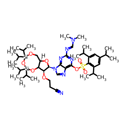 CC(C)c1cc(C(C)C)c(S(=O)(=O)Oc2nc(/N=C/N(C)C)nc3c2ncn3[C@@H]2O[C@@H]3CO[Si](C(C)C)(C(C)C)O[Si](C(C)C)(C(C)C)OC3[C@@H]2OCCC#N)c(C(C)C)c1